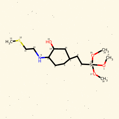 CO[Si](CCC1CCC(NCCSC)C(O)C1)(OC)OC